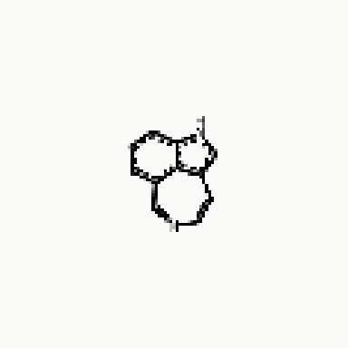 C1=Cc2c[nH]c3cccc(c23)C=N1